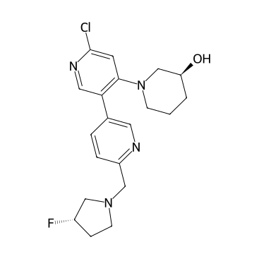 O[C@H]1CCCN(c2cc(Cl)ncc2-c2ccc(CN3CC[C@H](F)C3)nc2)C1